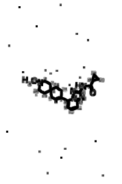 CN1CCC2(CC=C(c3cccc4nc(NC(=O)C5CC5)nn34)CC2)CC1